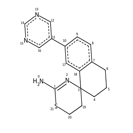 NC1=NC2(CCCc3ccc(-c4cncnc4)cc32)CCS1